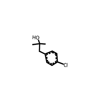 CC(C)(O)Cc1ccc(Cl)cc1